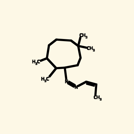 C/C=C\N=N/C1CCC(C)(C)CCCC(C)C1C